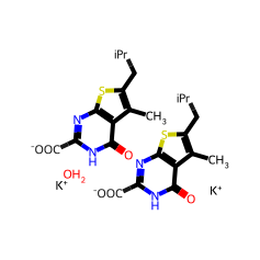 Cc1c(CC(C)C)sc2nc(C(=O)[O-])[nH]c(=O)c12.Cc1c(CC(C)C)sc2nc(C(=O)[O-])[nH]c(=O)c12.O.[K+].[K+]